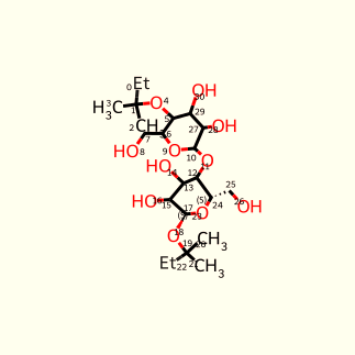 CCC(C)(C)OC1C(CO)OC(OC2C(O)C(O)[C@H](OC(C)(C)CC)O[C@H]2CO)C(O)C1O